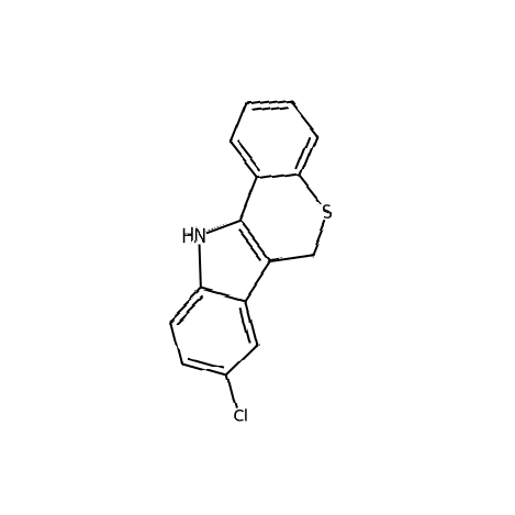 Clc1ccc2[nH]c3c(c2c1)CSc1ccccc1-3